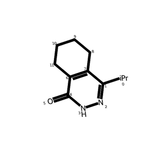 CC(C)c1n[nH]c(=O)c2c1CCCC2